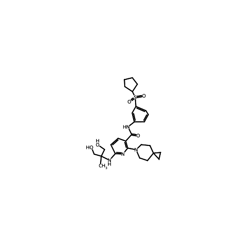 CC(CO)(CO)Nc1ccc(C(=O)Nc2cccc(S(=O)(=O)C3CCCC3)c2)c(N2CCC3(CC2)CC3)n1